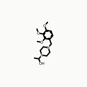 COc1ccc(CN2CCN(C(C)O)CC2)c(OC)c1OC